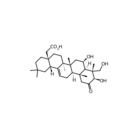 CC1(C)CC[C@]2(CC(=O)O)CC[C@]3(C)C(=CC[C@@H]4[C@@]5(C)CC(=O)[C@H](O)[C@@](C)(CO)[C@@H]5[C@H](O)C[C@]43C)[C@@H]2C1